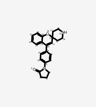 O=C1CCCN1c1ccc(C2=CC3(CCNCC3)Oc3ccccc32)cc1